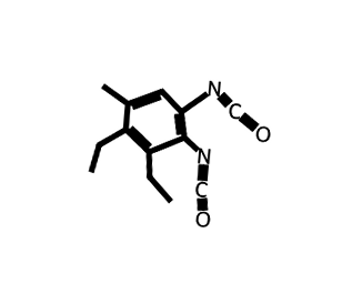 CCc1c(C)cc(N=C=O)c(N=C=O)c1CC